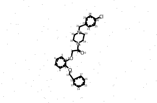 O=C(COc1ccccc1OCc1ccccc1)N1CCN(Cc2ccc(Cl)cc2)CC1